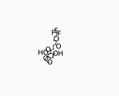 O=C(CCC(=O)c1c(O)cc2c(c1O)OCCO2)c1ccc(C(F)(F)F)cc1